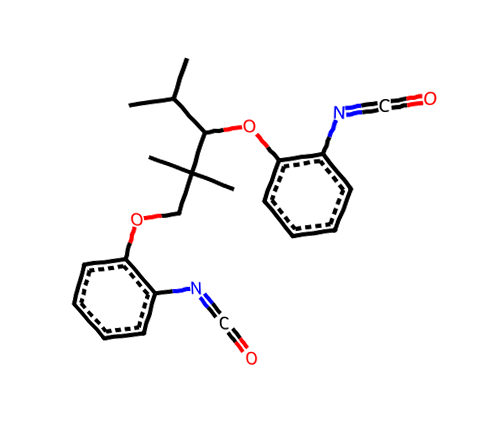 CC(C)C(Oc1ccccc1N=C=O)C(C)(C)COc1ccccc1N=C=O